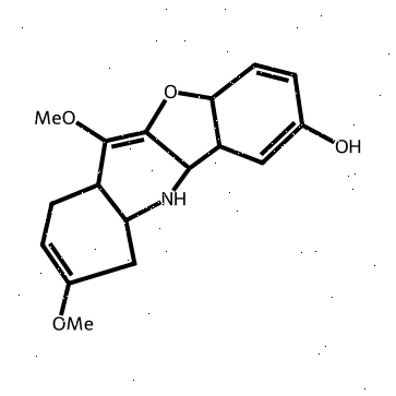 COC1=CCC2C(OC)=C3OC4C=CC(O)=CC4C3NC2C1